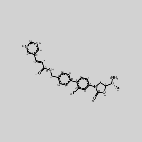 CC(=O)[C@@H](N)C1CN(c2ccc(-c3ccc(CNC(=O)/C=C/c4cncnc4)cc3)c(F)c2)C(=O)O1